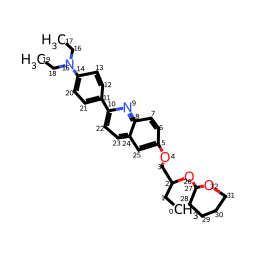 CCC(COc1ccc2nc(-c3ccc(N(CC)CC)cc3)ccc2c1)OC1CCCCO1